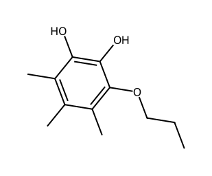 CCCOc1c(C)c(C)c(C)c(O)c1O